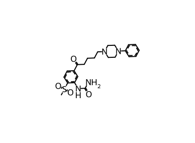 CS(=O)(=O)c1ccc(C(=O)CCCCN2CCN(c3ccccc3)CC2)cc1NC(N)=O